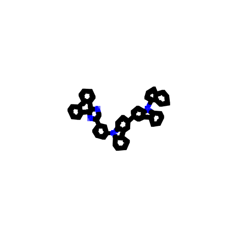 c1cc(-c2cnc3c4ccccc4c4ccccc4c3n2)cc(-n2c3ccccc3c3cc(-c4ccc5c(c4)c4ccccc4n5-c4cccc5ccccc45)ccc32)c1